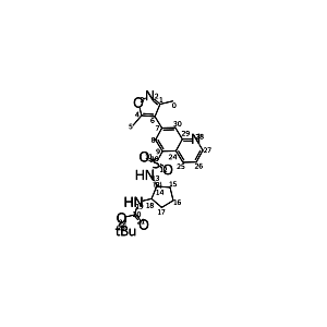 Cc1noc(C)c1-c1cc(S(=O)(=O)N[C@@H]2CCCC2NC(=O)OC(C)(C)C)c2cccnc2c1